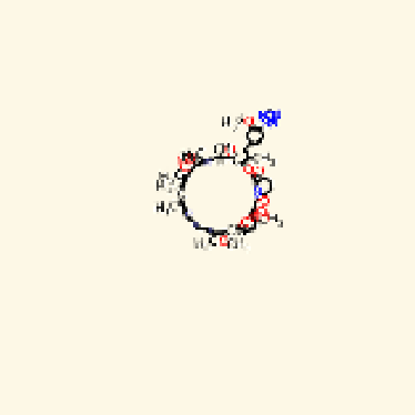 C=C1C(C)C[C@H](C)/C=C/C=C/C=C(\C)[C@@H](OC)C[C@@H]2CC[C@@H](C)C(O)(O2)C(=O)C(=O)N2CCCC[C@H]2C(=O)O[C@H]([C@H](C)C[C@@H]2CC[C@H](n3ncnn3)[C@H](OC)C2)CC(=O)[C@H](C)/C=C(\C)[C@@H](O)C1OC